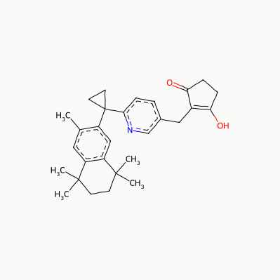 Cc1cc2c(cc1C1(c3ccc(CC4=C(O)CCC4=O)cn3)CC1)C(C)(C)CCC2(C)C